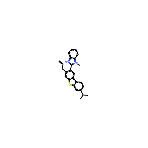 C=CCc1cc2sc3cc(C(C)C)ccc3c2cc1-c1[nH]c2ccccc2[n+]1C